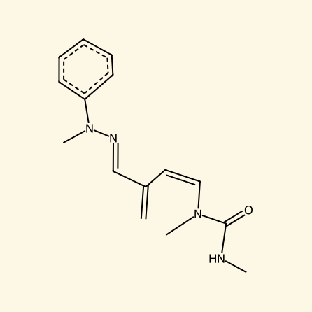 C=C(C=NN(C)c1ccccc1)/C=C\N(C)C(=O)NC